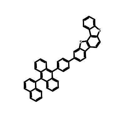 c1ccc2c(-c3c4ccccc4c(-c4ccc(-c5ccc6c(c5)sc5c6ccc6sc7ccccc7c65)cc4)c4ccccc34)cccc2c1